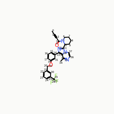 CC#CC(=O)N1CCCCC1c1nc(-c2cccc(OCc3cccc(C(F)(F)F)c3)c2)c2c(C)nccn12